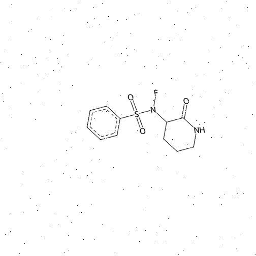 O=C1NCCCC1N(F)S(=O)(=O)c1ccccc1